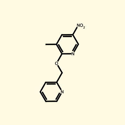 Cc1cc([N+](=O)[O-])cnc1OCc1ccccn1